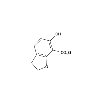 CCOC(=O)c1c(O)ccc2c1OCC2